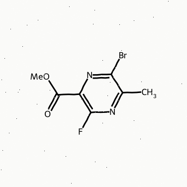 COC(=O)c1nc(Br)c(C)nc1F